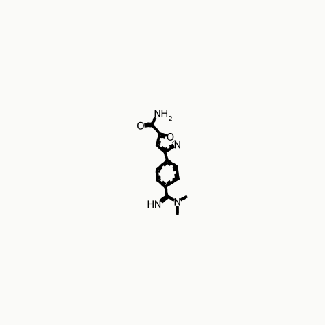 CN(C)C(=N)c1ccc(-c2cc(C(N)=O)on2)cc1